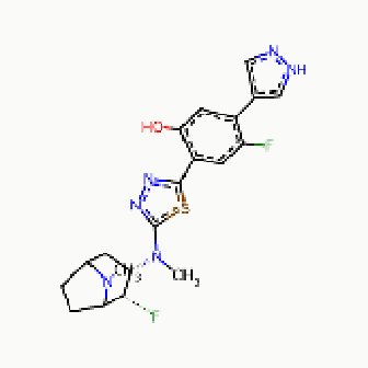 CN1C2CCC1[C@@H](F)[C@@H](N(C)c1nnc(-c3cc(F)c(-c4cn[nH]c4)cc3O)s1)C2